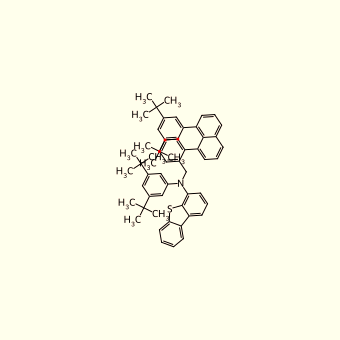 CC(C)(C)c1cc(-c2cccc3cccc(-c4ccccc4CN(c4cc(C(C)(C)C)cc(C(C)(C)C)c4)c4cccc5c4sc4ccccc45)c23)cc(C(C)(C)C)c1